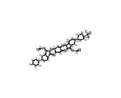 Cc1ccc(-c2ccc3c(c2)/c(=N\C#N)c2nc4cc5nc6c(nc5cc4nc23)/c(=N/C#N)c2cc(-c3ccc(C(F)(F)F)cc3)ccc26)cc1